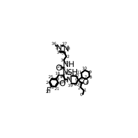 CCCC(=O)C1(C2CCCCC2)CCN(C(=O)[C@@H](Cc2ccc(F)cc2)N(S)C(=O)NCCc2cn(C)cn2)CC1